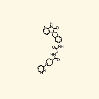 O=C(CNC(=O)C1CCN(c2cccnn2)CC1)Nc1ccc2c(c1)CC1(C2)C(=O)Nc2ncccc21